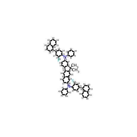 CC1(C)c2cc(N(c3ccccc3)c3ccc(-c4cccc5ccccc45)cc3F)ccc2-c2cc3ccc(N(c4ccccc4)c4ccc(-c5cccc6ccccc56)cc4F)cc3cc21